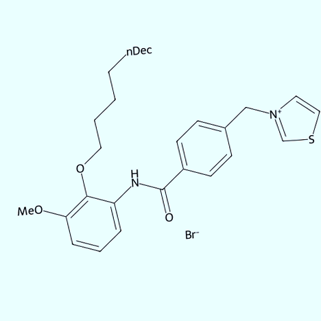 CCCCCCCCCCCCCCOc1c(NC(=O)c2ccc(C[n+]3ccsc3)cc2)cccc1OC.[Br-]